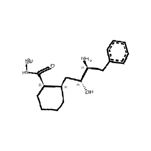 CC(C)(C)NC(=O)[C@@H]1CCCC[C@@H]1C[C@@H](O)[C@@H](N)Cc1ccccc1